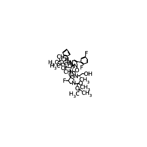 C[C@@H](CO)NC(=O)N(CC1CN(C(=O)OC(C)(C)C)CC1F)[C@@H](c1nc(-c2cc(F)ccc2F)cn1Cc1ccccc1)C(C)(C)O[Si](C)(C)C(C)(C)C